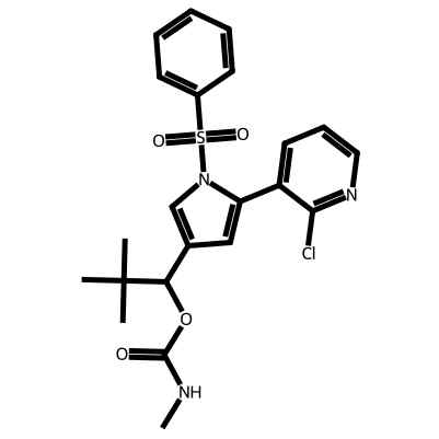 CNC(=O)OC(c1cc(-c2cccnc2Cl)n(S(=O)(=O)c2ccccc2)c1)C(C)(C)C